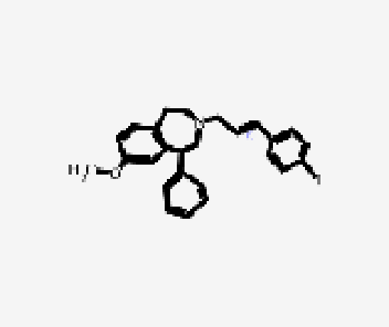 COc1ccc2c(c1)C(c1ccccc1)CN(C/C=C/c1ccc(I)cc1)CC2